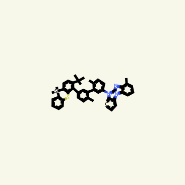 Cc1ccc(-c2c(C(C)(C)C)ccc3c2Sc2ccccc2[Si]3(C)C)cc1-c1cc(-n2c3ccccc3n3c4cccc(C)c4nc23)ccc1C